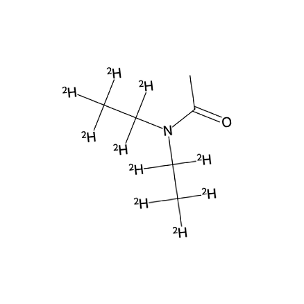 [2H]C([2H])([2H])C([2H])([2H])N(C(C)=O)C([2H])([2H])C([2H])([2H])[2H]